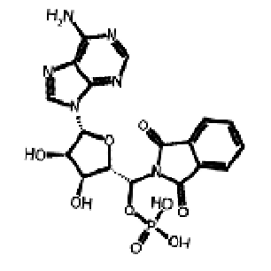 Nc1ncnc2c1ncn2[C@@H]1O[C@H](C(OP(=O)(O)O)N2C(=O)c3ccccc3C2=O)[C@@H](O)[C@H]1O